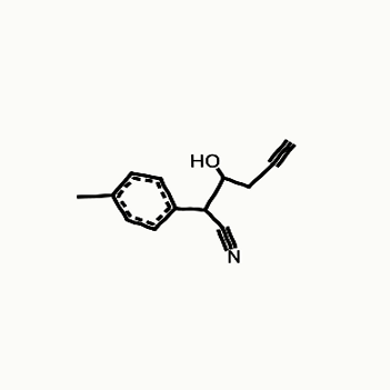 C#CCC(O)C(C#N)c1ccc(C)cc1